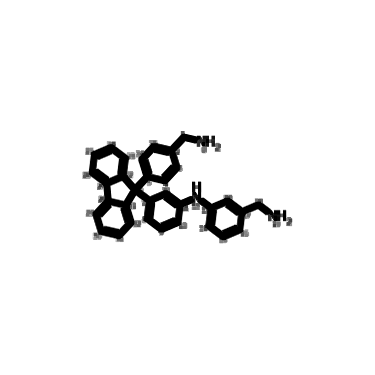 NCc1ccc(C2(c3cccc(Nc4cccc(CN)c4)c3)c3ccccc3-c3ccccc32)cc1